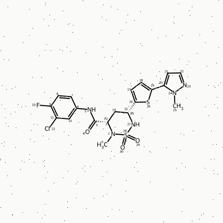 CN1[C@H](C(=O)Nc2ccc(F)c(Cl)c2)C[C@H](c2ccc(-c3ccnn3C)s2)NS1(=O)=O